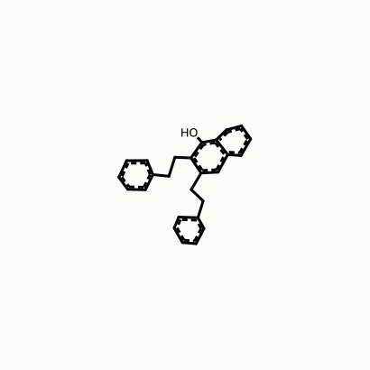 Oc1c(CCc2ccccc2)c(CCc2ccccc2)cc2ccccc12